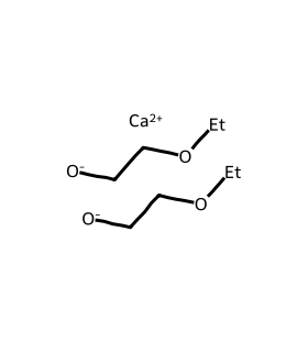 CCOCC[O-].CCOCC[O-].[Ca+2]